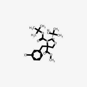 COC(=O)C1(Cc2cccc(Cl)c2)CO[C@@H](C(C)(C)C)N1C(=O)OC(C)(C)C